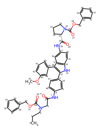 CCCN(CC(=O)Nc1ccc(-c2[nH]c3ccc(NC(=O)[C@@H]4CCCN4C(=O)OCc4ccccc4)cc3c2-c2cccc(OC)c2)cc1)C(=O)OCc1ccccc1